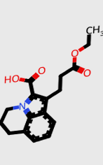 CCOC(=O)CCc1c(C(=O)O)n2c3c(cccc13)CCC2